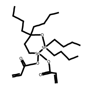 C=CC(=O)[O][Sn]1([O]C(=O)C=C)[CH2]CC(CCCC)(CCCC)[O][Sn]1([CH2]CCC)[CH2]CCC